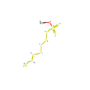 CCOS(=S)(=S)SSSSSSS